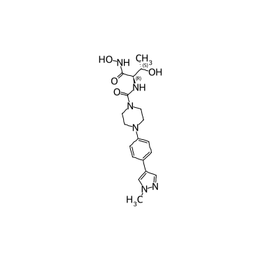 C[C@H](O)[C@@H](NC(=O)N1CCN(c2ccc(-c3cnn(C)c3)cc2)CC1)C(=O)NO